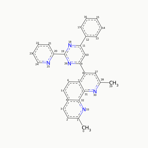 Cc1ccc2ccc3c(-c4cc(-c5ccccc5)nc(-c5ccccn5)n4)cc(C)nc3c2n1